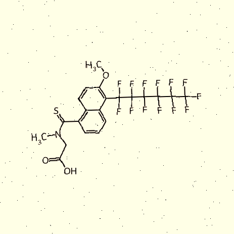 COc1ccc2c(C(=S)N(C)CC(=O)O)cccc2c1C(F)(F)C(F)(F)C(F)(F)C(F)(F)C(F)(F)C(F)(F)F